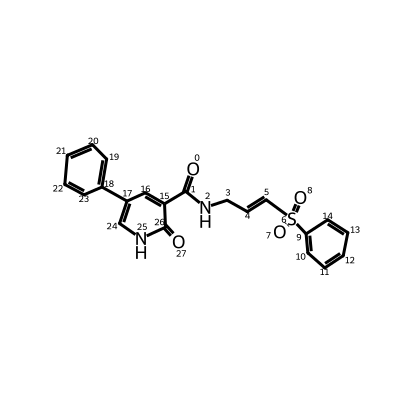 O=C(NC/C=C/S(=O)(=O)c1ccccc1)c1cc(-c2ccccc2)c[nH]c1=O